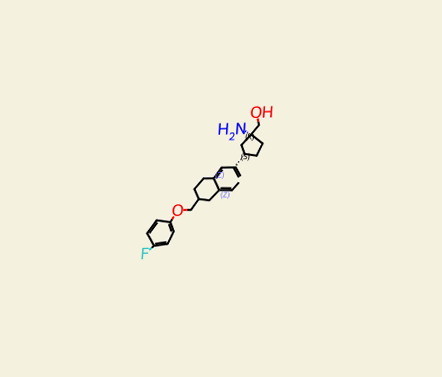 C=C(/C=C1/CCC(COc2ccc(F)cc2)C/C1=C/C)[C@H]1CC[C@](N)(CO)C1